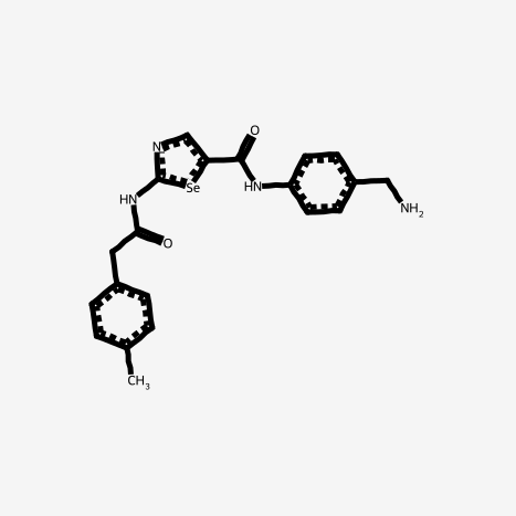 Cc1ccc(CC(=O)Nc2ncc(C(=O)Nc3ccc(CN)cc3)[se]2)cc1